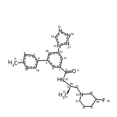 Cc1ccc(-c2cc(C(=O)N[C@H](C)CN3CCCC(F)C3)cc(-n3cnnn3)c2)cc1